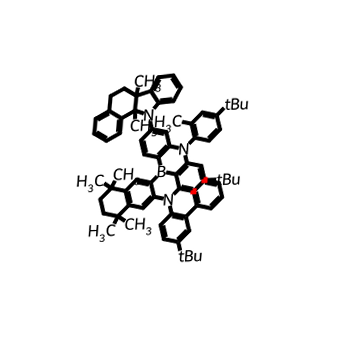 Cc1cc(C(C)(C)C)ccc1N1c2cc(N3c4ccccc4C4(C)CCc5ccccc5C34C)ccc2B2c3cc4c(cc3N(c3ccc(C(C)(C)C)cc3-c3ccccc3)c3cc(C(C)(C)C)cc1c32)C(C)(C)CCC4(C)C